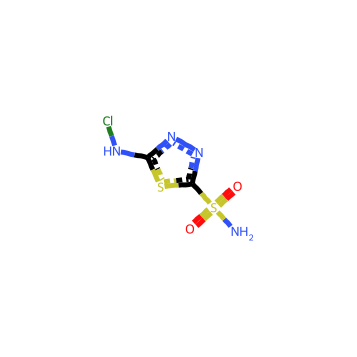 NS(=O)(=O)c1nnc(NCl)s1